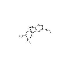 Cc1cc2c3c([nH]c2cn1)CN(C)[C@H](C)C3